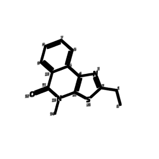 CCc1nc2c3ccccc3c(=O)n(C)c2s1